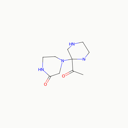 CC(=O)C1(N2CCNC(=O)C2)CNCC[N]1